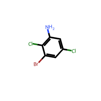 Nc1cc(Cl)cc(Br)c1Cl